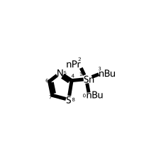 CCC[CH2][Sn]([CH2]CC)([CH2]CCC)[c]1nccs1